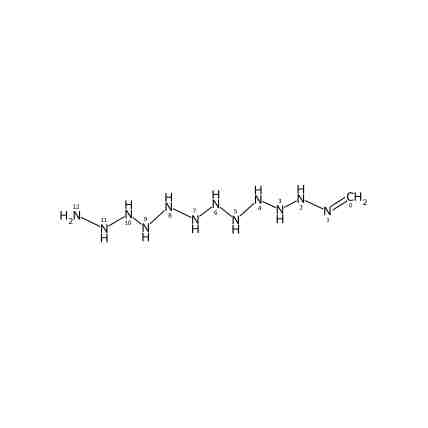 C=NNNNNNNNNNNN